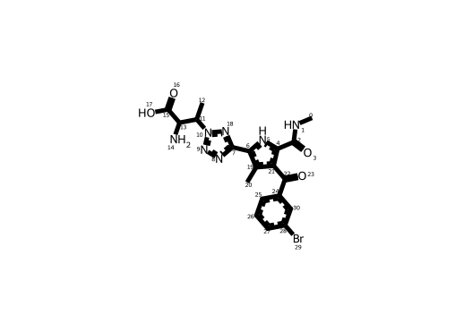 CNC(=O)c1[nH]c(-c2nnn(C(C)C(N)C(=O)O)n2)c(C)c1C(=O)c1cccc(Br)c1